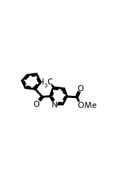 COC(=O)c1cnc(C(=O)c2ccccc2)c(C)c1